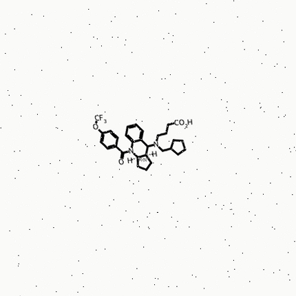 O=C(O)CCCN(CC1CCCC1)C1c2ccccc2N(C(=O)c2ccc(OC(F)(F)F)cc2)[C@@H]2CCC[C@H]12